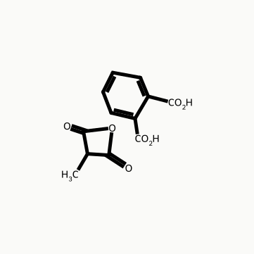 CC1C(=O)OC1=O.O=C(O)c1ccccc1C(=O)O